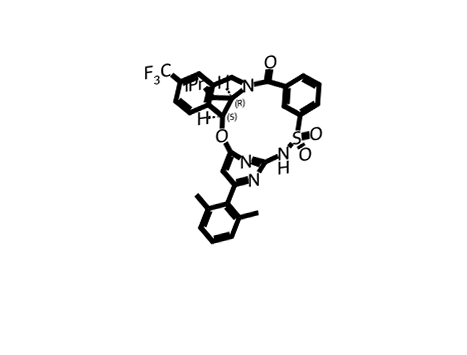 Cc1cccc(C)c1-c1cc2nc(n1)NS(=O)(=O)c1cccc(c1)C(=O)N1Cc3cc(C(F)(F)F)ccc3[C@H](O2)[C@H]1CC(C)C